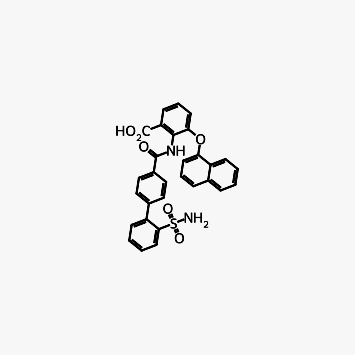 NS(=O)(=O)c1ccccc1-c1ccc(C(=O)Nc2c(Oc3cccc4ccccc34)cccc2C(=O)O)cc1